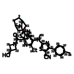 CCc1nc2sc(N3C4CCC3CC(N(C)CC(=O)N3CC(O)C3)C4)nn2c1N(C)c1nc(-c2ccc(C)cc2)c(C#N)s1